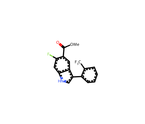 COC(=O)c1cc2c(-c3ccccc3C(F)(F)F)c[nH]c2cc1F